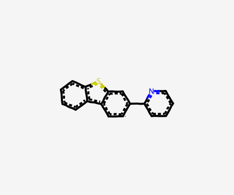 [c]1cc2c(cc1-c1ccccn1)sc1ccccc12